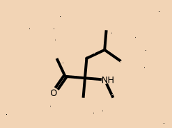 CNC(C)(CC(C)C)C(C)=O